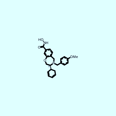 COc1ccc(CN2Cc3ccc(C(=O)NO)cc3OC[C@@H]2C2C=CC=CC2)cc1